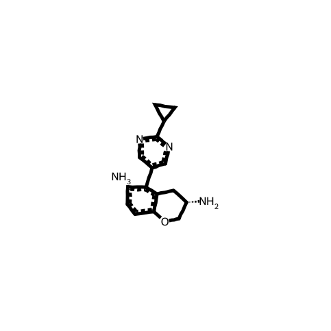 N.N[C@@H]1COc2cccc(-c3cnc(C4CC4)nc3)c2C1